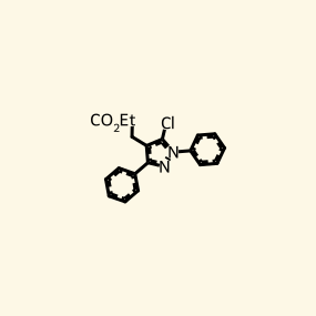 CCOC(=O)Cc1c(-c2ccccc2)nn(-c2ccccc2)c1Cl